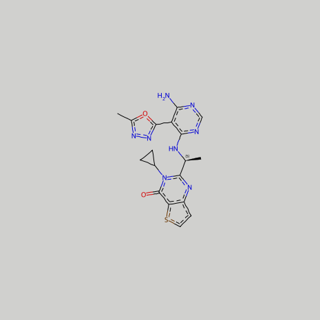 Cc1nnc(-c2c(N)ncnc2N[C@@H](C)c2nc3ccsc3c(=O)n2C2CC2)o1